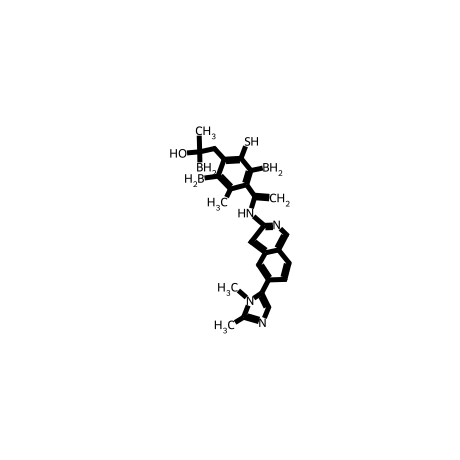 Bc1c(C)c(C(=C)Nc2cc3cc(-c4cnc(C)n4C)ccc3cn2)c(B)c(S)c1CC(B)(C)O